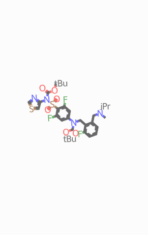 CC(C)N(C)Cc1cccc(F)c1CN(C(=O)OC(C)(C)C)c1cc(F)c(S(=O)(=O)N(C(=O)OC(C)(C)C)c2cscn2)c(F)c1